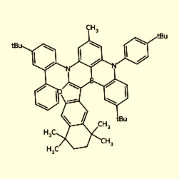 Cc1cc2c3c(c1)N(c1ccc(C(C)(C)C)cc1-c1ccccc1)c1oc4cc5c(cc4c1B3c1cc(C(C)(C)C)ccc1N2c1ccc(C(C)(C)C)cc1)C(C)(C)CCC5(C)C